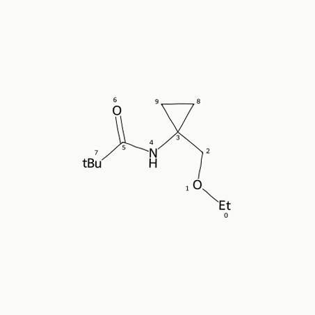 CCOCC1(NC(=O)C(C)(C)C)CC1